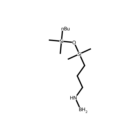 BNCCC[Si](C)(C)O[Si](C)(C)CCCC